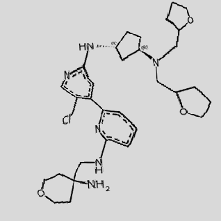 NC1(CNc2cccc(-c3cc(N[C@@H]4CC[C@@H](N(CC5CCCO5)CC5CCCO5)C4)ncc3Cl)n2)CCOCC1